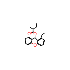 CCc1cccc2c1C(OC(=O)C(C)CC)c1ccccc1O2